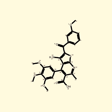 COc1cccc(C(=O)c2sc3nc(C)c(C(=O)O)c(-c4cc(OC)c(OC)c(OC)c4)c3c2N)c1